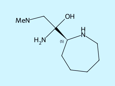 CNCC(N)(O)[C@@H]1CCCCCN1